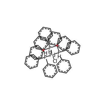 [Cl][Pd]([PH](c1ccccc1)(c1ccccc1)c1ccccc1)([PH](c1ccccc1)(c1ccccc1)c1ccccc1)[PH](c1ccccc1)(c1ccccc1)c1ccccc1